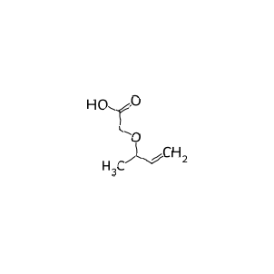 C=CC(C)OCC(=O)O